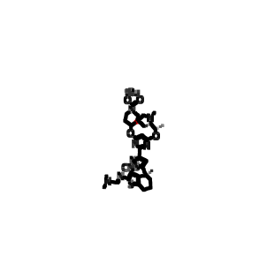 C[C@H](Oc1cc(OC2CCN(C(=O)OC(C)(C)C)CC2)nc(-c2cc([C@@]3(C)CCCc4sc(/N=C/N(C)C)c(C#N)c43)sn2)n1)[C@@H]1CCCN1C